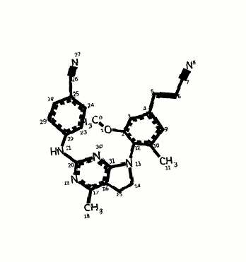 COc1cc(/C=C/C#N)cc(C)c1N1CCc2c(C)nc(Nc3ccc(C#N)cc3)nc21